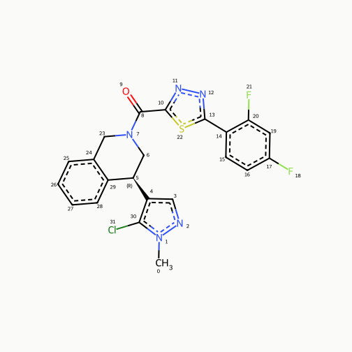 Cn1ncc([C@@H]2CN(C(=O)c3nnc(-c4ccc(F)cc4F)s3)Cc3ccccc32)c1Cl